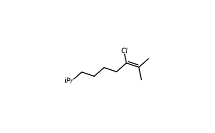 CC(C)=C(Cl)CCCCC(C)C